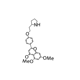 COc1cc(OC)c2c(=O)cc(-c3ccc(OCCC4CCCN4)cc3)oc2c1